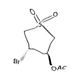 CC(=O)O[C@@H]1CS(=O)(=O)C[C@H]1Br